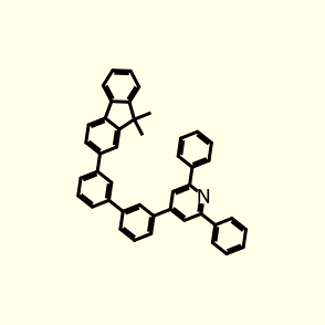 CC1(C)c2ccccc2-c2ccc(-c3cccc(-c4cccc(-c5cc(-c6ccccc6)nc(-c6ccccc6)c5)c4)c3)cc21